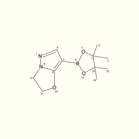 CC1(C)OB(c2cnn3c2OCC3)OC1(C)C